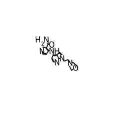 NC(=O)c1cnccc1Nc1ccnc2c1ccn2CCN1CCOCC1